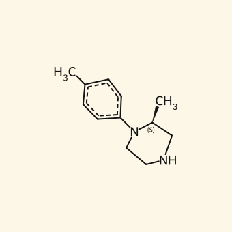 Cc1ccc(N2CCNC[C@@H]2C)cc1